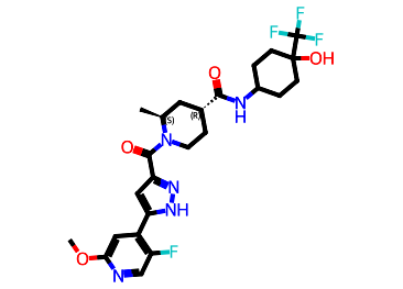 COc1cc(-c2cc(C(=O)N3CC[C@@H](C(=O)NC4CCC(O)(C(F)(F)F)CC4)C[C@@H]3C)n[nH]2)c(F)cn1